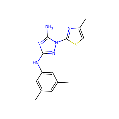 Cc1cc(C)cc(Nc2nc(N)n(-c3nc(C)cs3)n2)c1